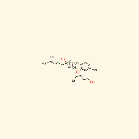 C=CC(C)(O)CCC=C(C)C.CC/C=C\CCO.Cc1ccc(C(C)C)cc1O